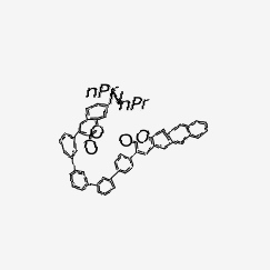 CCCN(CCC)c1ccc2cc(-c3cccc(-c4cccc(-c5cccc(-c6ccc(-c7cc8cc9cc%10ccccc%10cc9cc8oc7=O)cc6)c5)c4)c3)c(=O)oc2c1